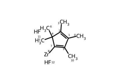 CC1=C(C)C(C)(C)[C]([Zr])=C1C.F.F